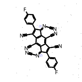 N#C/N=c1/c(-c2ccc(F)cc2)c(C#N)c2c(C#N)c3/c(=N\C#N)c(-c4ccc(F)cc4)c(C#N)c3c(C#N)c12